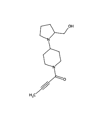 CC#CC(=O)N1CCC(N2CCCC2CO)CC1